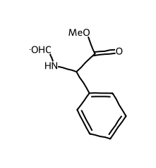 COC(=O)C(N[C]=O)c1ccccc1